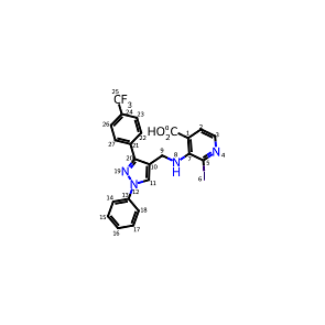 O=C(O)c1ccnc(I)c1NCc1cn(-c2ccccc2)nc1-c1ccc(C(F)(F)F)cc1